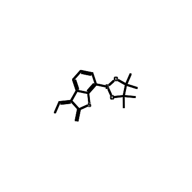 C=c1sc2c(B3OC(C)(C)C(C)(C)O3)cccc2/c1=C/C